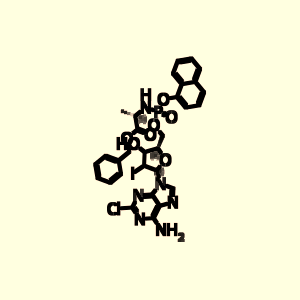 C[C@H](NP(=O)(OC[C@H]1O[C@@H](n2cnc3c(N)nc(Cl)nc32)C(I)C1O)Oc1cccc2ccccc12)C(=O)OCc1ccccc1